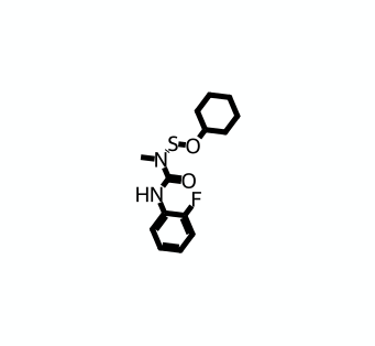 CN(SOC1CCCCC1)C(=O)Nc1ccccc1F